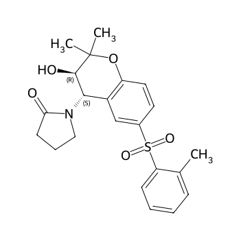 Cc1ccccc1S(=O)(=O)c1ccc2c(c1)[C@H](N1CCCC1=O)[C@@H](O)C(C)(C)O2